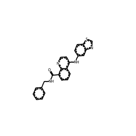 O=C(NCc1ccccc1)c1cccc2c(Nc3ccc4scnc4c3)ccnc12